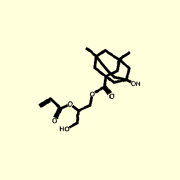 C=CC(=O)OC(CO)COC(=O)C12CC3(C)CC(C)(CC(O)(C3)C1)C2